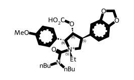 CCCCN(CCCC)C(=O)[N@@+]1(CC)C[C@H](c2ccc3c(c2)OCO3)[C@@H](OC(=O)O)[C@H]1c1ccc(OC)cc1